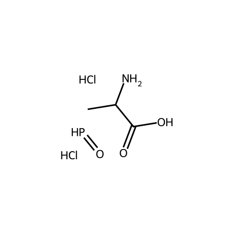 CC(N)C(=O)O.Cl.Cl.O=P